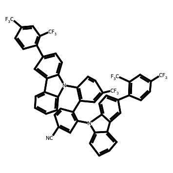 N#Cc1ccc(-c2cc(C(F)(F)F)ccc2-n2c3ccccc3c3cc(-c4ccc(C(F)(F)F)cc4C(F)(F)F)ccc32)c(-n2c3ccccc3c3cc(-c4ccc(C(F)(F)F)cc4C(F)(F)F)ccc32)c1